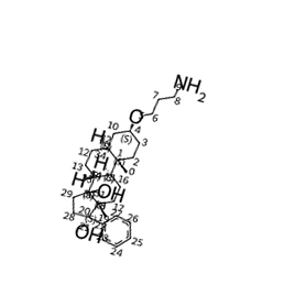 C[C@]12CC[C@H](OCCCN)C[C@@H]1CC[C@@H]1[C@@H]2CC[C@]2(C)[C@@](O)(c3ccccc3)CC[C@]12O